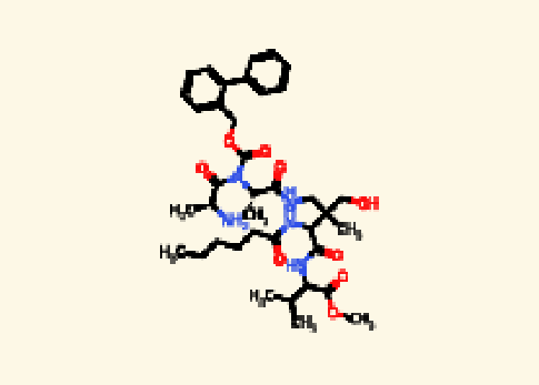 CCCCCC(=O)NC(C(=O)NC(C(=O)OC)C(C)C)C(C)(CO)CNC(=O)[C@H](C)N(C(=O)OCc1ccccc1-c1ccccc1)C(=O)[C@H](C)N